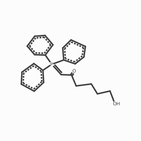 O=C(C=P(c1ccccc1)(c1ccccc1)c1ccccc1)CCCCO